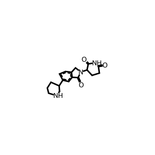 O=C1CCC(N2Cc3ccc(C4CCCNC4)cc3C2=O)C(=O)N1